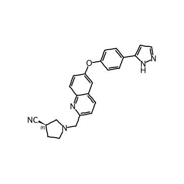 N#C[C@@H]1CCN(Cc2ccc3cc(Oc4ccc(-c5ccn[nH]5)cc4)ccc3n2)C1